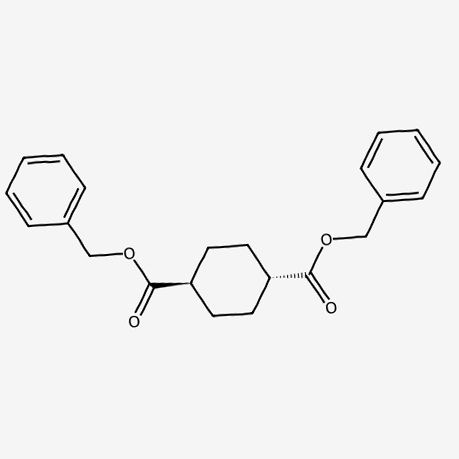 O=C(OCc1ccccc1)[C@H]1CC[C@H](C(=O)OCc2ccccc2)CC1